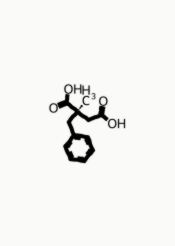 C[C@](CC(=O)O)(Cc1ccccc1)C(=O)O